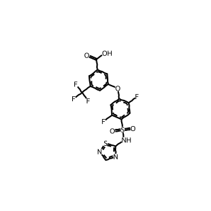 O=C(O)c1cc(Oc2cc(F)c(S(=O)(=O)Nc3ncns3)cc2F)cc(C(F)(F)F)c1